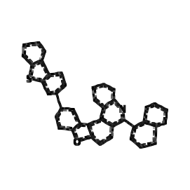 c1ccc2c(-c3nc4ccccc4c4c3ccc3oc5ccc(-c6ccc7c(c6)sc6ccccc67)cc5c34)cccc2c1